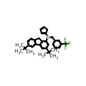 CC(C)(C)c1ccc2c(c1)-c1cc(C(C)(C)C)c[c](/[Zr](=[CH]\c3cccc(C(F)(F)F)c3)[C]3=CC=CC3)c1C2